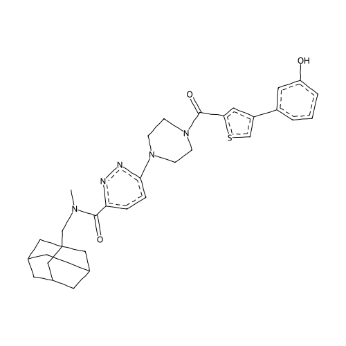 CN(CC12CC3CC(CC(C3)C1)C2)C(=O)c1ccc(N2CCN(C(=O)c3cc(-c4cccc(O)c4)cs3)CC2)nn1